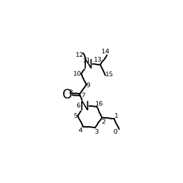 CCC1CCCN(C(=O)CCN(C)C(C)C)C1